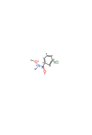 CON(C)C(=O)c1cccc(Cl)c1